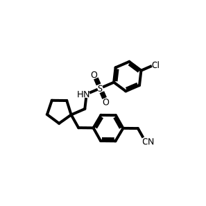 N#CCc1ccc(CC2(CNS(=O)(=O)c3ccc(Cl)cc3)CCCC2)cc1